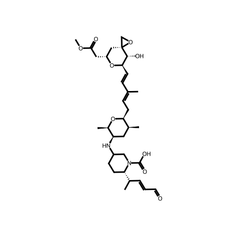 COC(=O)C[C@@H]1C[C@@]2(CO2)[C@H](O)[C@@H](/C=C/C(C)=C/C[C@@H]2O[C@H](C)[C@H](NC3CC[C@@H](C(C)C=CC=O)N(C(=O)O)C3)C[C@@H]2C)O1